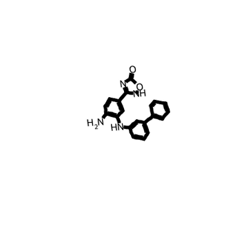 Nc1ccc(-c2nc(=O)o[nH]2)cc1Nc1cccc(-c2ccccc2)c1